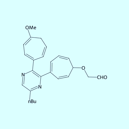 CCCCc1cnc(C2=CC=C(OC)CC=C2)c(C2=CC=CC(OCC=O)C=C2)n1